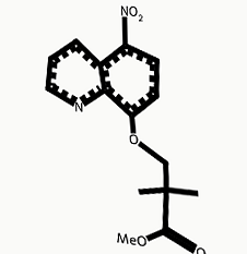 COC(=O)C(C)(C)COc1ccc([N+](=O)[O-])c2cccnc12